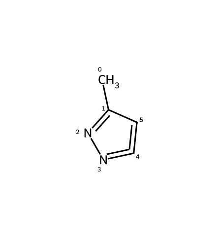 CC1=NN=C=C1